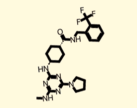 CNc1nc(N[C@H]2CC[C@@H](C(=O)NCc3ccccc3C(F)(F)F)CC2)nc(N2CCCC2)n1